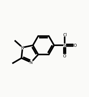 Cc1nc2cc(S(=O)(=O)Cl)ccc2n1C